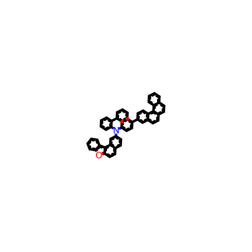 c1ccc(-c2ccccc2N(c2ccc(-c3ccc4c(ccc5ccc6ccccc6c54)c3)cc2)c2ccc3ccc4oc5ccccc5c4c3c2)cc1